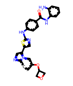 Nc1ccccc1NC(=O)c1ccc(Nc2ncc(-c3cnc4ccc(OC5COC5)cn34)s2)cc1